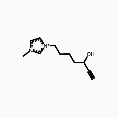 C#CC(O)CCCC[n+]1ccn(C)c1